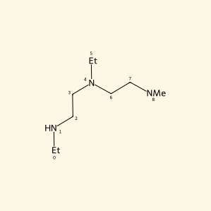 CCNCCN(CC)CCNC